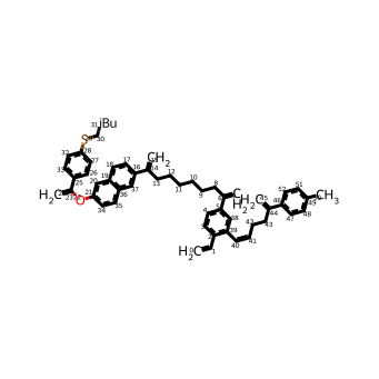 C=Cc1ccc(C(=C)CCCCCCC(=C)c2ccc3cc(OC(=C)c4ccc(SCC(C)CC)cc4)ccc3c2)cc1/C=C\CCC(=C)c1ccc(C)cc1